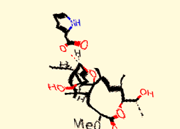 CO[C@H]1C[C@H]2C(C)(C)C[C@H]3[C@H]4O[C@]2(/C(C)=C/[C@@H](C)[C@@H]([C@@H](C)O)OC1=O)[C@@H]3[C@H](O)[C@@H](C)[C@H]4OC(=O)c1ccc[nH]1